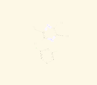 C=Cc1nc(C)c(C)nc1C.Clc1cccc(Cl)c1